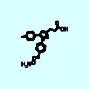 Cc1ccc(-c2cc(CCC(=O)O)nn2-c2ccc(SOON)cc2)cc1